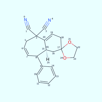 N#CC1(C#N)CC=CC(c2ccccc2)[C@@H]2CC3(CC=C21)OCCO3